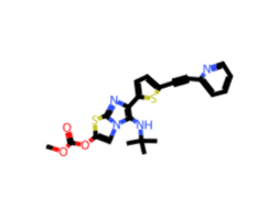 COC(=O)Oc1cn2c(NC(C)(C)C)c(-c3ccc(C#Cc4ccccn4)s3)nc2s1